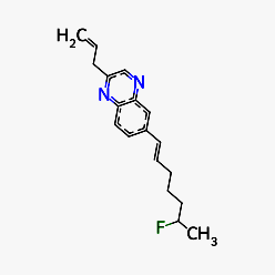 C=CCc1cnc2cc(C=CCCCC(C)F)ccc2n1